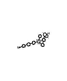 C[C@@H]1C[C@@H]2C[C@H](C)CC(c3ccc(-c4ccccc4-c4nc(-c5ccccc5)nc(-c5ccc(-c6ccc(-c7ccc(C#N)cc7)cc6)cc5)n4)cc3)(C1)C2